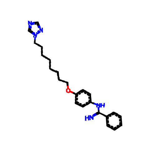 N=C(Nc1ccc(OCCCCCCCCn2cncn2)cc1)c1ccccc1